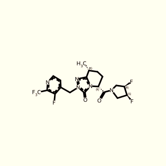 C[C@@H]1CC[C@H](C(=O)N2C[C@@H](F)[C@@H](F)C2)n2c1nn(Cc1ccnc(C(F)(F)F)c1F)c2=O